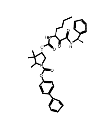 CCCC[C@H](NC(=O)O[C@@H]1CN(C(=O)Oc2ccc(-c3ccccc3)cc2)C(C)C1(C)C)C(=O)C(=O)N[C@H](C)c1ccccc1